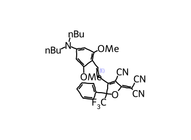 CCCCN(CCCC)c1cc(OC)c(/C=C/C2=C(C#N)C(=C(C#N)C#N)OC2(c2ccccc2)C(F)(F)F)c(OC)c1